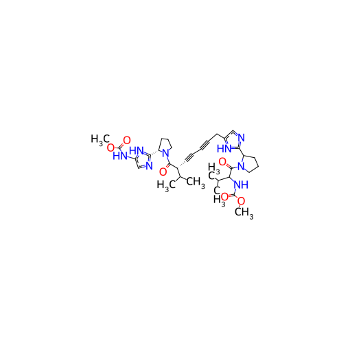 COC(=O)Nc1cnc([C@@H]2CCCN2C(=O)[C@H](C#CC#CCc2cnc(C3CCCN3C(=O)C(NC(=O)OC)C(C)C)[nH]2)C(C)C)[nH]1